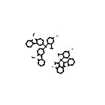 CCn1c2ccccc2c2cc(C3(c4ccc5c(c4)c4ccccc4n5CC)OC(=O)c4cc(N(C)C)ccc43)ccc21.Cc1c(C2(c3c(C)n(C)c4ccccc34)OC(=O)c3cc(N(C)C)ccc32)c2ccccc2n1C